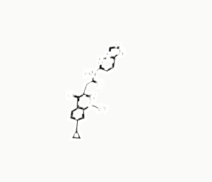 CC(C)n1nc(CC(=O)Nc2ccc3nncn3n2)c(=O)c2ccc(C3CC3)cc21